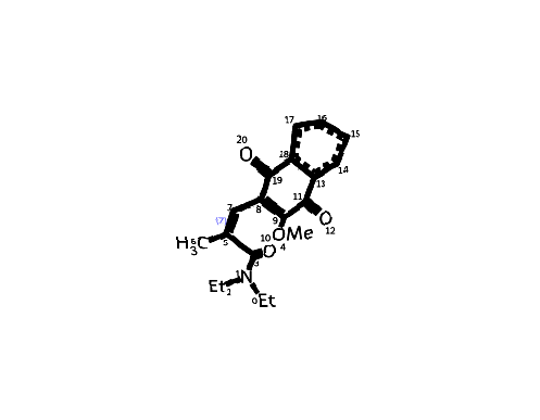 CCN(CC)C(=O)/C(C)=C\C1=C(OC)C(=O)c2ccccc2C1=O